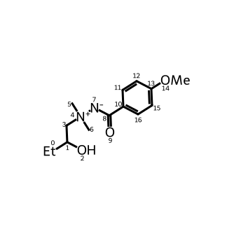 CCC(O)C[N+](C)(C)[N-]C(=O)c1ccc(OC)cc1